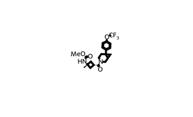 COC(=O)N[C@]1(C)C[C@H](C(=O)N2CCC3(c4ccc(OC(F)(F)F)cc4)CC3C2)C1